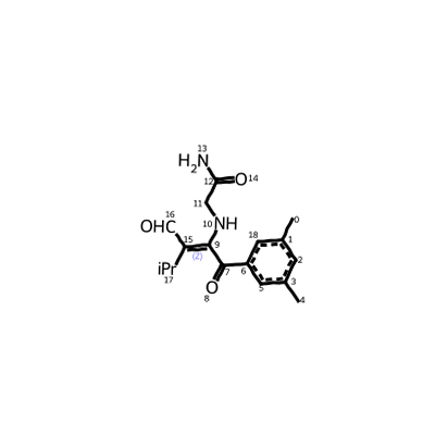 Cc1cc(C)cc(C(=O)/C(NCC(N)=O)=C(/C=O)C(C)C)c1